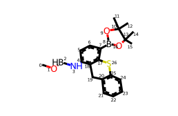 COBNc1ccc(B2OC(C)(C)C(C)(C)O2)c2c1Cc1ccccc1S2